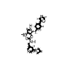 O=C(NCc1cncc(N2CCC2)c1)O[C@@H]1[C@@H](O)CN[C@@H]1Cc1ccc(-c2cnco2)cc1